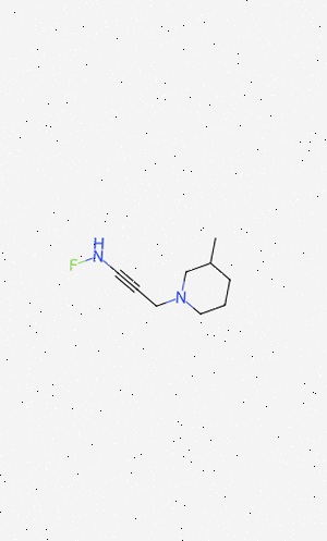 CC1CCCN(CC#CNF)C1